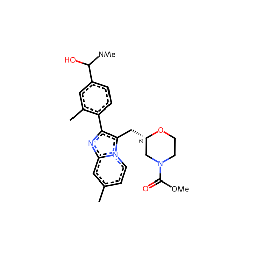 CNC(O)c1ccc(-c2nc3cc(C)ccn3c2C[C@H]2CN(C(=O)OC)CCO2)c(C)c1